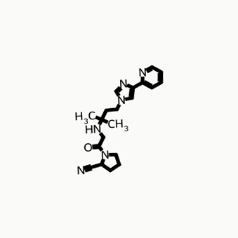 CC(C)(CCn1cnc(-c2ccccn2)c1)NCC(=O)N1CCCC1C#N